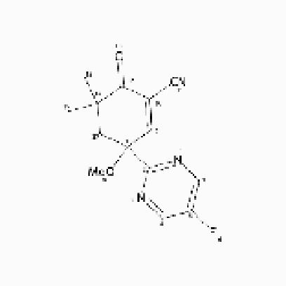 COC1(c2ncc(F)cn2)C=C(C#N)C(=O)C(C)(C)C1